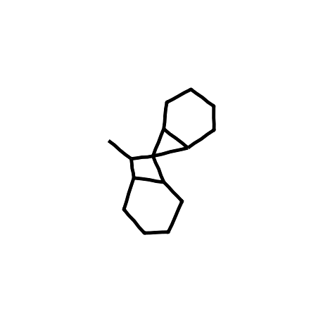 CC1C2CCCCC2C12C1CCCCC12